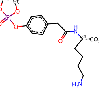 CCOP(=O)(OCC)Oc1ccc(CC(=O)N[C@@H](CCCCN)C(=O)O)cc1